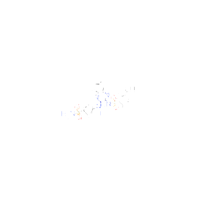 Cc1cccc(S(=O)(=O)Nc2nc3ccccc3nc2Nc2ccc(S(N)(=O)=O)cc2)c1